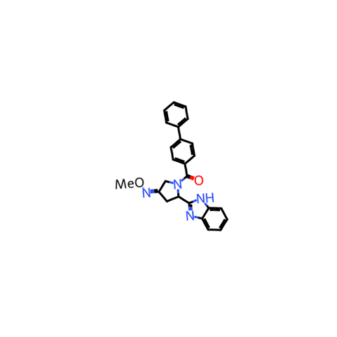 CON=C1CC(c2nc3ccccc3[nH]2)N(C(=O)c2ccc(-c3ccccc3)cc2)C1